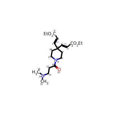 CCOC(=O)/C=C/C1(/C=C/C(=O)OCC)CCN(C(=O)CCN(C)C)CC1